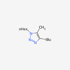 CCCCCCn1nnc(C(C)(C)C)c1C